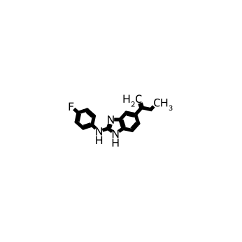 C=C(CC)c1ccc2[nH]c(Nc3ccc(F)cc3)nc2c1